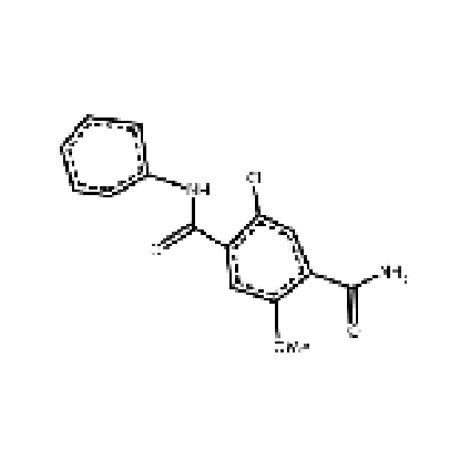 COc1cc(C(=O)Nc2ccccc2)c(Cl)cc1C(N)=O